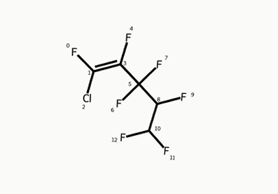 FC(Cl)=C(F)C(F)(F)C(F)C(F)F